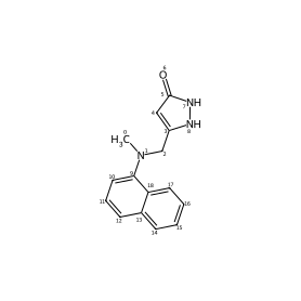 CN(Cc1cc(=O)[nH][nH]1)c1cccc2ccccc12